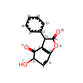 O=C1C2=C(C=CC1O)OC(=O)C2c1ccccc1